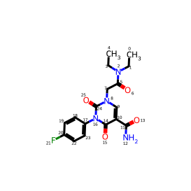 CCN(CC)C(=O)Cn1cc(C(N)=O)c(=O)n(-c2ccc(F)cc2)c1=O